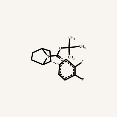 CC(C)(C)OC(=O)N1C2CCC1[C@@H](c1ccc(F)c(F)c1)C2